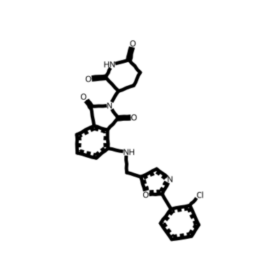 O=C1CCC(N2C(=O)c3cccc(NCc4cnc(-c5ccccc5Cl)o4)c3C2=O)C(=O)N1